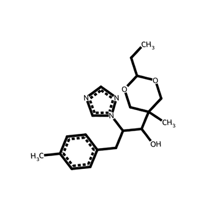 CCC1OCC(C)(C(O)C(Cc2ccc(C)cc2)n2cncn2)CO1